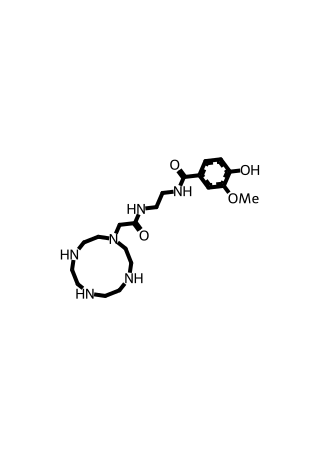 COc1cc(C(=O)NCCNC(=O)CN2CCNCCNCCNCC2)ccc1O